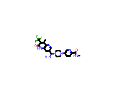 CNC(=O)c1ccc(N2CCN([C@@H](N)c3cnc4c(C)c(C(F)(F)F)c(=O)[nH]c4c3)CC2)cn1